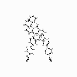 N#Cc1ccc(-c2ccc3c(c2)B2c4cc(-c5ccc(C#N)cc5)ccc4N(c4ccc5ccc6cccc7ccc4c5c67)c4cccc-3c42)cc1